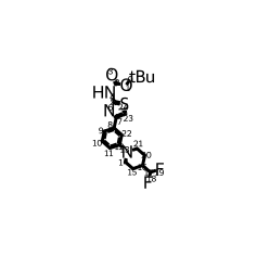 CC(C)(C)OC(=O)Nc1nc(-c2cccc(N3CCC(C(F)F)CC3)c2)cs1